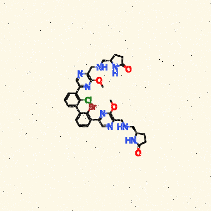 COc1nc(-c2cccc(-c3cccc(-c4cnc(CNC[C@H]5CCC(=O)N5)c(OC)n4)c3Br)c2Cl)cnc1CNC[C@H]1CCC(=O)N1